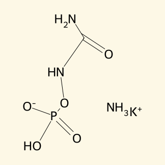 N.NC(=O)NOP(=O)([O-])O.[K+]